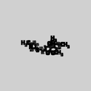 Cc1cc(C)c(-c2c(O)cc(CCSc3ccc(C)nc3)oc2=O)c(C)c1